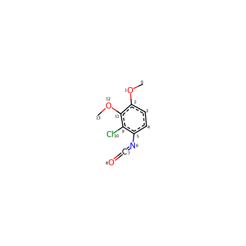 COc1ccc(N=C=O)c(Cl)c1OC